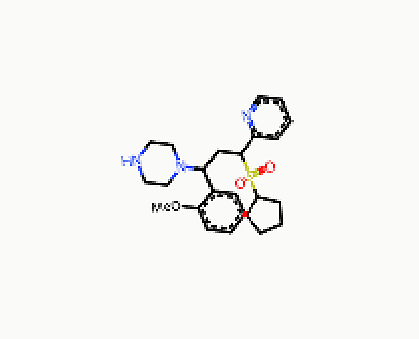 COc1ccccc1C(CC(c1ccccn1)S(=O)(=O)C1CCCC1)N1CCNCC1